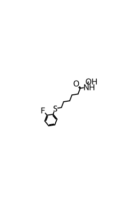 O=C(CCCCCSc1ccccc1F)NO